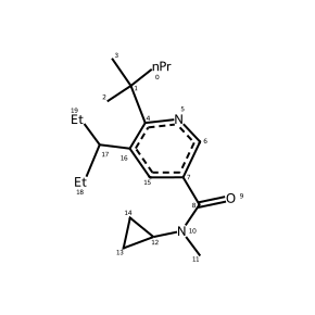 CCCC(C)(C)c1ncc(C(=O)N(C)C2CC2)cc1C(CC)CC